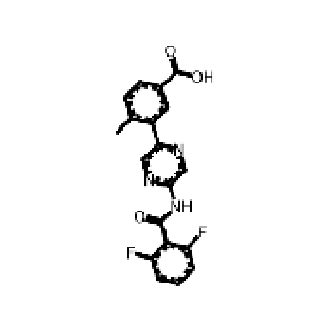 Cc1ccc(C(=O)O)cc1-c1cnc(NC(=O)c2c(F)cccc2F)cn1